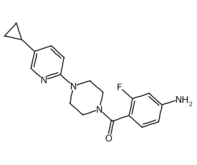 Nc1ccc(C(=O)N2CCN(c3ccc(C4CC4)cn3)CC2)c(F)c1